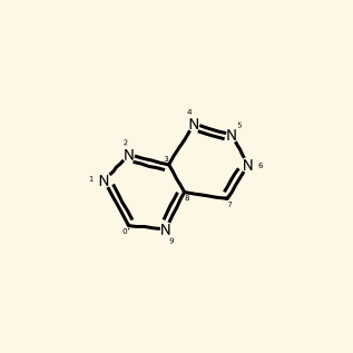 [c]1nnc2nnncc2n1